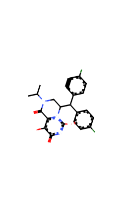 CC(C)N1CC(C(c2c#cc(Cl)cc2)c2ccc(Cl)cc2)n2c(O)nc(=O)c(O)c2C1=O